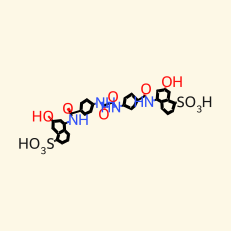 O=C(Nc1ccc(C(=O)Nc2cc(O)cc3c(S(=O)(=O)O)cccc23)cc1)C(=O)Nc1ccc(C(=O)Nc2cc(O)cc3c(S(=O)(=O)O)cccc23)cc1